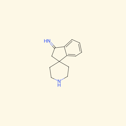 N=C1CC2(CCNCC2)c2ccccc21